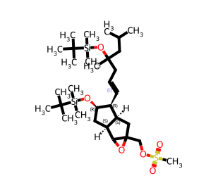 CC(C)CC(C)(C/C=C/[C@H]1[C@H]2CC3(COS(C)(=O)=O)OC3[C@H]2C[C@H]1O[Si](C)(C)C(C)(C)C)O[Si](C)(C)C(C)(C)C